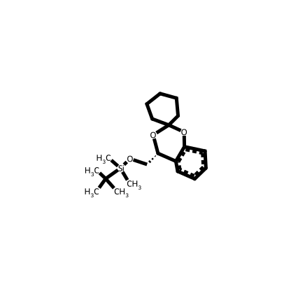 CC(C)(C)[Si](C)(C)OC[C@@H]1OC2(CCCCC2)Oc2ccccc21